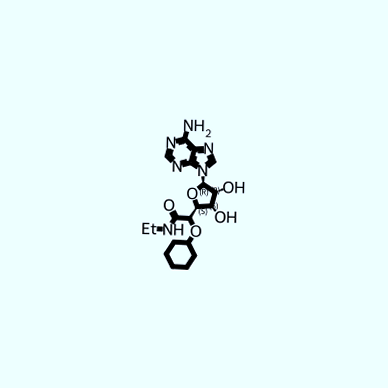 CCNC(=O)C(OC1CCCCC1)[C@H]1O[C@@H](n2cnc3c(N)ncnc32)[C@H](O)[C@@H]1O